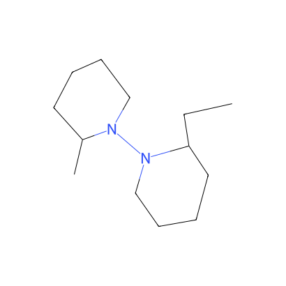 CCC1CCCCN1N1CCCCC1C